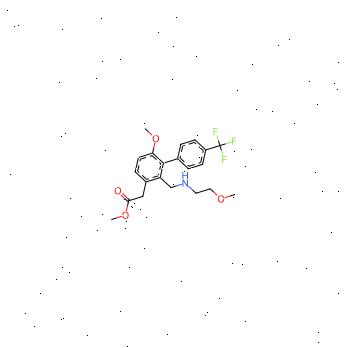 COCCNCc1c(CC(=O)OC)ccc(OC)c1-c1ccc(C(F)(F)F)cc1